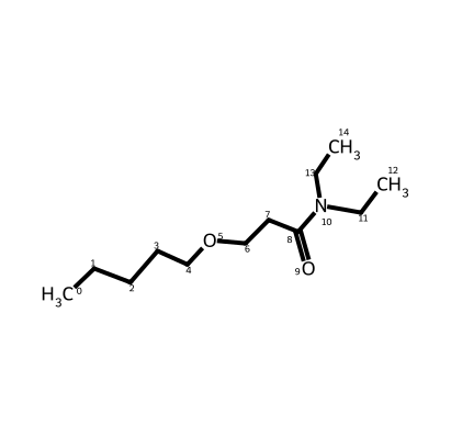 CCCCCOCCC(=O)N(CC)CC